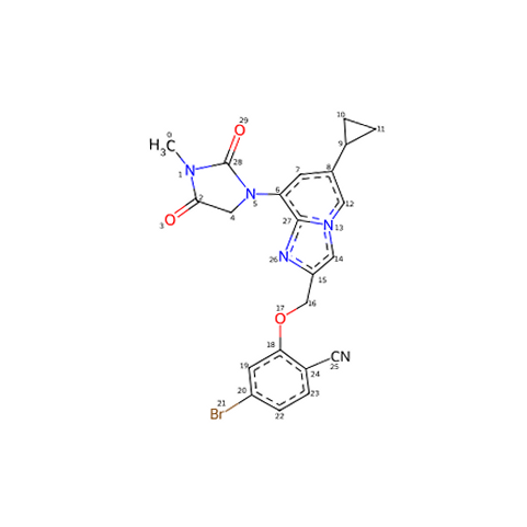 CN1C(=O)CN(c2cc(C3CC3)cn3cc(COc4cc(Br)ccc4C#N)nc23)C1=O